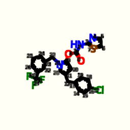 O=C(Nc1nccs1)Oc1cc(Cc2ccc(Cl)cc2)cn1Cc1cccc(C(F)(F)F)c1